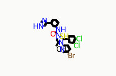 CCC(CN(S)C(=O)Nc1cccc(-c2c[nH]cn2)c1)N(Cc1ccc(Cl)c(Cl)c1)c1ccc(Br)cn1